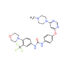 CN1CCN(c2cc(Oc3ccc(NC(=O)Nc4ccc(N5CCOCC5)c(C(F)(F)F)c4)cc3)ncn2)CC1